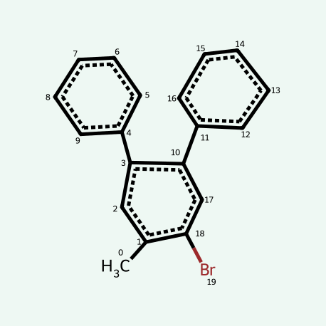 Cc1cc(-c2ccccc2)c(-c2ccccc2)cc1Br